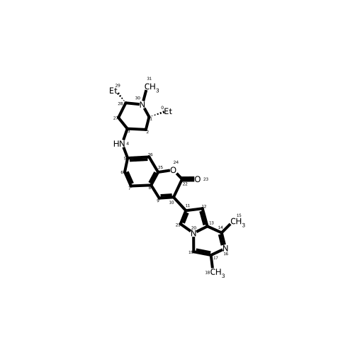 CC[C@@H]1CC(Nc2ccc3cc(-c4cc5c(C)nc(C)cn5c4)c(=O)oc3c2)C[C@H](CC)N1C